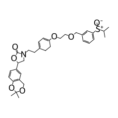 CC(C)[S+]([O-])c1cccc(COCCOC2=CC=C(CCN3CC(c4ccc5c(c4)COC(C)(C)O5)OC3=O)CC2)c1